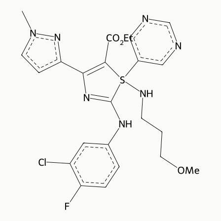 CCOC(=O)C1=C(c2ccn(C)n2)N=C(Nc2ccc(F)c(Cl)c2)S1(NCCCOC)c1cncnc1